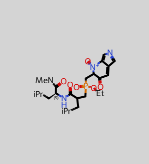 CCOP(=O)(CC(CC(C)C)C(=O)N[C@@H](CC(C)C)C(=O)NC)CC1C(=O)C=C2C=NC=C2[N+]1=O